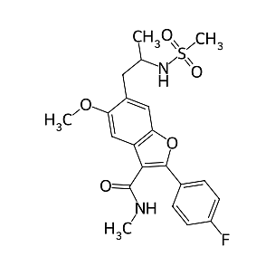 CNC(=O)c1c(-c2ccc(F)cc2)oc2cc(CC(C)NS(C)(=O)=O)c(OC)cc12